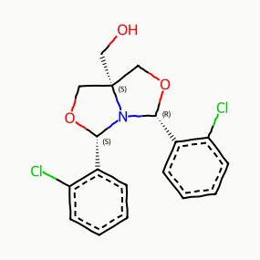 OC[C@]12CO[C@H](c3ccccc3Cl)N1[C@H](c1ccccc1Cl)OC2